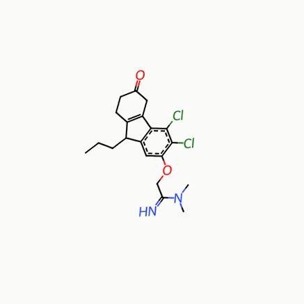 CCCC1C2=C(CC(=O)CC2)c2c1cc(OCC(=N)N(C)C)c(Cl)c2Cl